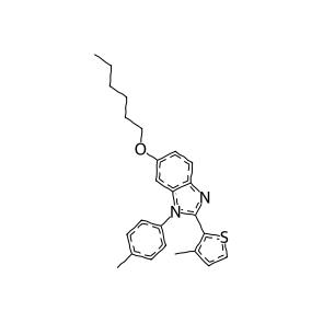 CCCCCCOc1ccc2nc(-c3sccc3C)n(-c3ccc(C)cc3)c2c1